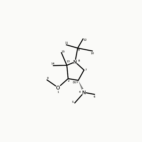 COC1[C@@H](N(C)C)CN(C(C)(C)C)C1(C)C